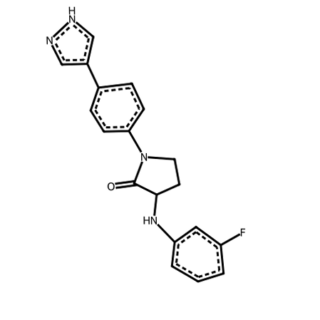 O=C1C(Nc2cccc(F)c2)CCN1c1ccc(-c2cn[nH]c2)cc1